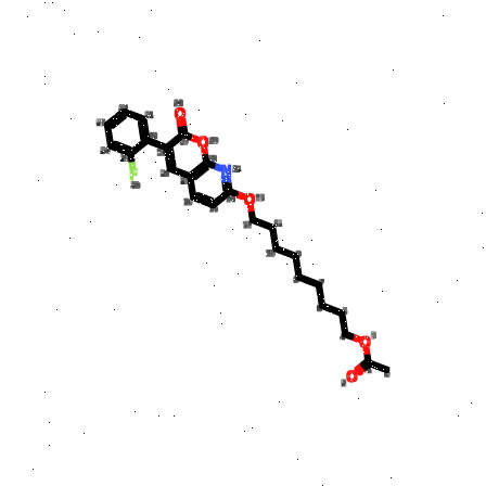 CC(=O)OCCCCCCCCCOc1ccc2cc(-c3ccccc3F)c(=O)oc2n1